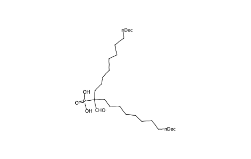 CCCCCCCCCCCCCCCCCCC([C]=O)(CCCCCCCCCCCCCCCCCC)P(=O)(O)O